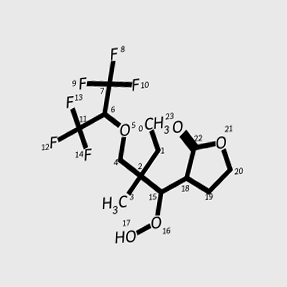 CCC(C)(COC(C(F)(F)F)C(F)(F)F)C(OO)C1CCOC1=O